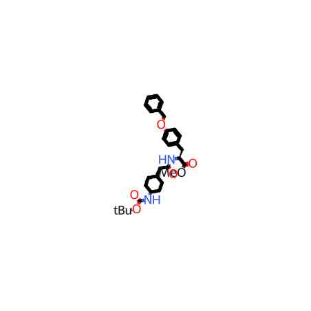 COC(=O)[C@H](Cc1ccc(OCc2ccccc2)cc1)NC(=O)CC1CCC(NC(=O)OC(C)(C)C)CC1